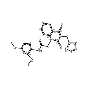 COc1ccc(NC(=O)Cn2c(=O)n(Cc3ccco3)c(=O)c3ccccc32)c(OC)c1